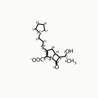 C[C@@H](O)C1C(=O)N2C(C(=O)[O-])=C(SCC[S+]3CCCC3)CC12